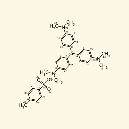 CN(C)c1ccc([S+](c2ccc(N(C)C)cc2)c2ccc(N(C)C)cc2)cc1.Cc1ccc(S(=O)(=O)[O-])cc1